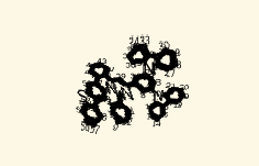 c1ccc(-c2nc(-c3cc(-n4c5ccccc5c5ccccc54)cc(-n4c5ccccc5c5ccccc54)c3)cc(-c3ccccc3-c3ccc4c(c3)sc3ccccc34)n2)cc1